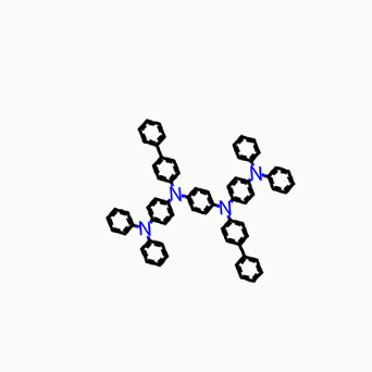 c1ccc(-c2ccc(N(c3ccc(N(c4ccccc4)c4ccccc4)cc3)c3ccc(N(c4ccc(-c5ccccc5)cc4)c4ccc(N(c5ccccc5)c5ccccc5)cc4)cc3)cc2)cc1